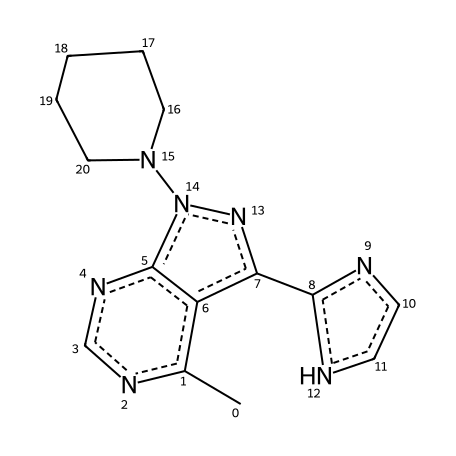 Cc1ncnc2c1c(-c1ncc[nH]1)nn2N1CCCCC1